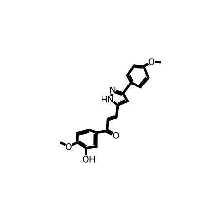 COc1ccc(-c2cc(/C=C/C(=O)c3ccc(OC)c(O)c3)[nH]n2)cc1